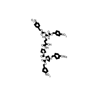 COc1ccc(CS[C@H]2C[C@@H](C(=O)N3CC[C@H](NC(=O)C(O)CCN/C(=N\C(=O)OCc4ccc([N+](=O)[O-])cc4)NC(=O)OCc4ccc([N+](=O)[O-])cc4)C3)N(C(=O)OCc3ccc([N+](=O)[O-])cc3)C2)cc1